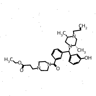 C=CCN1C[C@H](C)N([C@@H](c2cccc(O)c2)c2cccc(C(=O)N3CCN(CCC(=O)OCC)CC3)c2)C[C@H]1C